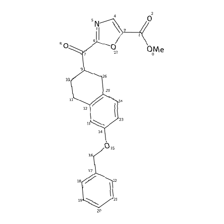 COC(=O)c1cnc(C(=O)C2CCc3cc(OCc4ccccc4)ccc3C2)o1